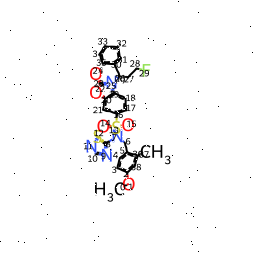 COc1ccc(CN(c2ncns2)S(=O)(=O)c2ccc3c(c2)oc(=O)n3[C@H](CCF)c2ccccc2)c(C)c1